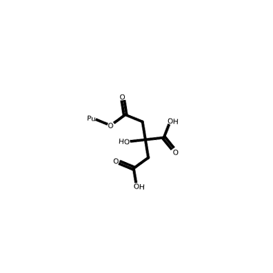 O=C(O)CC(O)(CC(=O)[O][Pu])C(=O)O